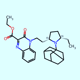 CCOC(=O)c1nc2ccccc2n(CC[C@@H]2CC[C@H](CC)N2C23CC4CC(CC(C4)C2)C3)c1=O